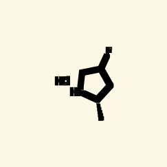 C[C@H]1CC(F)CN1.Cl